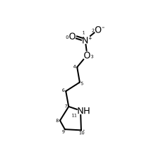 O=[N+]([O-])OCCCC1CC[CH]N1